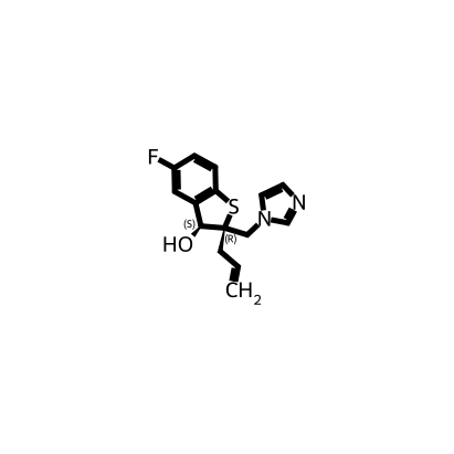 C=CC[C@]1(Cn2ccnc2)Sc2ccc(F)cc2[C@@H]1O